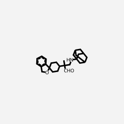 CC(C=O)(CNC12CC3CC(CC(C3)C1)C2)C1CCC2(CC1)OCc1ccccc12